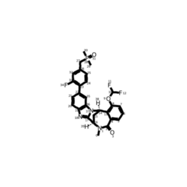 CN1C(=O)c2cccc(OC(F)F)c2[C@H]2C[C@@H]1c1nc3ccc(-c4ccc(CP(C)(C)=O)cc4F)cc3n12